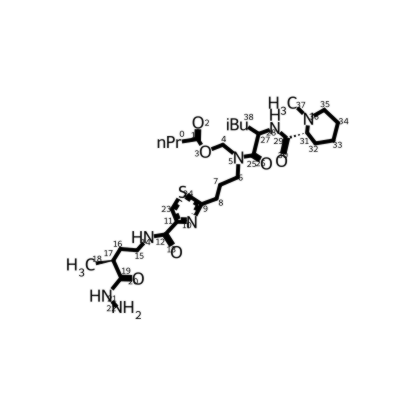 CCCC(=O)OCN(CCCc1nc(C(=O)NCC[C@H](C)C(=O)NN)cs1)C(=O)C(NC(=O)[C@H]1CCCCN1C)C(C)CC